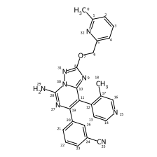 Cc1cccc(COc2nc3c(-c4ccncc4C)c(-c4cccc(C#N)c4)nc(N)n3n2)n1